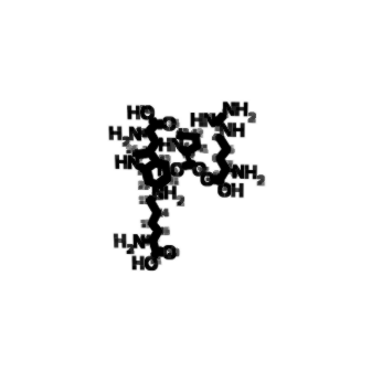 N=C(N)NCCC[C@H](N)C(=O)O.NCCCC[C@H](N)C(=O)O.N[C@@H](Cc1c[nH]c2ccccc12)C(=O)O.O=C(O)[C@@H]1CCCN1